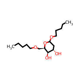 CCCCCOC[C@H]1OC(OCCCCC)C[C@H](O)[C@H]1O